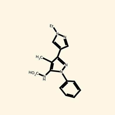 CCn1cc(-c2nn(-c3ccccc3)c(NC(=O)O)c2C)cn1